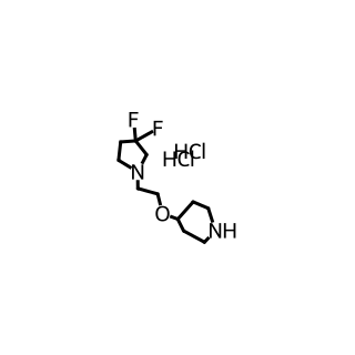 Cl.Cl.FC1(F)CCN(CCOC2CCNCC2)C1